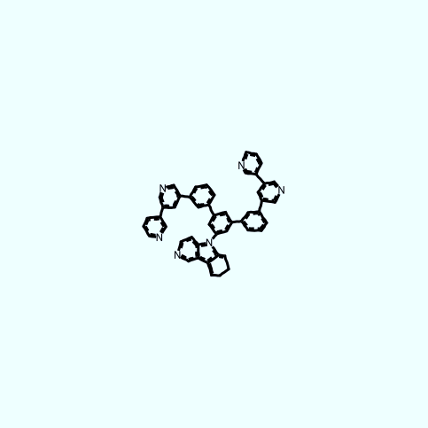 C1=c2c(n(-c3cc(-c4cccc(-c5cncc(-c6cccnc6)c5)c4)cc(-c4cccc(-c5cncc(-c6cccnc6)c5)c4)c3)c3ccncc23)=CCC1